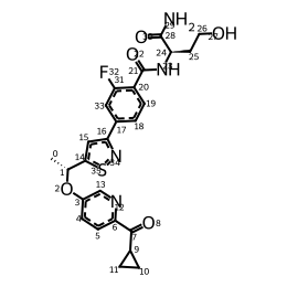 C[C@@H](Oc1ccc(C(=O)C2CC2)nc1)c1cc(-c2ccc(C(=O)N[C@H](CCO)C(N)=O)c(F)c2)ns1